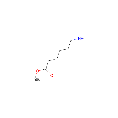 CCCCOC(=O)CCCCC[NH]